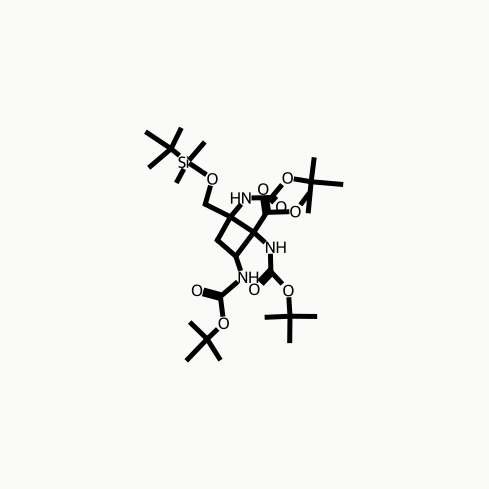 COC(=O)C1(NC(=O)OC(C)(C)C)C(NC(=O)OC(C)(C)C)CC1(CO[Si](C)(C)C(C)(C)C)NC(=O)OC(C)(C)C